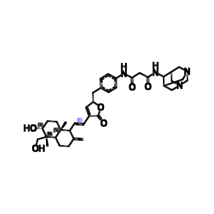 C=C1CCC2[C@](C)(CC[C@@H](O)[C@@]2(C)CO)C1/C=C/C1=CC(Cc2ccc(NC(=O)CC(=O)NC3C4CN5CC3CN(C4)C5)cc2)OC1=O